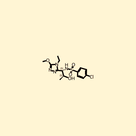 CCn1c(OC)nnc1[C@H](NS(=O)(=O)c1ccc(Cl)cc1)[C@H](C)O